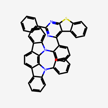 c1ccc(-c2nc(-c3ccccc3-n3c4ccccc4c4ccc5c6ccccc6n(-c6ccccc6)c5c43)c3c(n2)sc2ccccc23)cc1